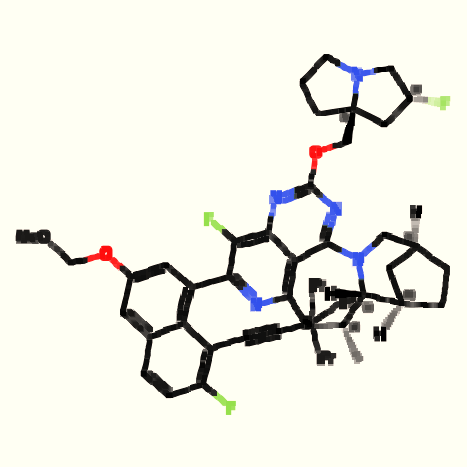 COCOc1cc(-c2nc3c4c(nc(OC[C@@]56CCCN5C[C@H](F)C6)nc4c2F)N2C[C@H]4CC[C@H](C4)[C@@H]2[C@H](C)C3)c2c(C#C[Si](C(C)C)(C(C)C)C(C)C)c(F)ccc2c1